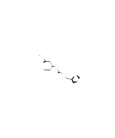 COC(=O)CC(CN)NC(=O)OCc1cncs1